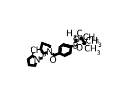 C[C@@H]1CCCN1C[C@@H]1CCCN1C(=O)c1ccc(B2OC(C)(C)C(C)(C)O2)cc1